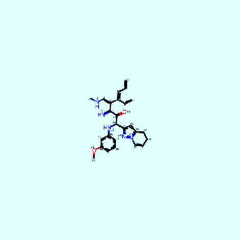 C=C/C=C(C=C)/C(=C/NC)C(=N)C(=O)C(Nc1cccc(OC)c1)c1cc2n(n1)C=CCC2